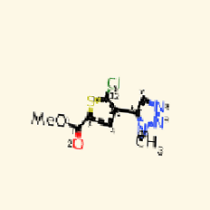 COC(=O)c1cc(-c2cnnn2C)c(Cl)s1